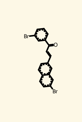 O=C(/C=C/c1ccc2ccc(Br)cc2c1)c1cccc(Br)c1